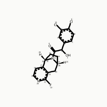 O=C(C(O)c1ccc(Cl)c(Cl)c1)N1[C@@H]2CC[C@H]1c1ccnc(F)c1C2